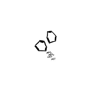 Cl.Cl.N.N.c1ccccc1.c1ccccc1